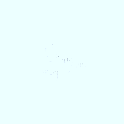 Cc1ccc(-n2nc(C(C)(C)C)cc2N)cc1.Cl